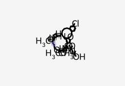 CO[C@H]1/C=C/COC(C)(C)C(=O)N=[S@](=O)(NC(=O)N2CC(O)C2)c2ccc3c(c2)N(CCCCc2cc(Cl)ccc2CO3)C[C@@H]2CC[C@H]21